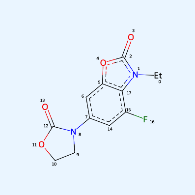 CCn1c(=O)oc2cc(N3CCOC3=O)cc(F)c21